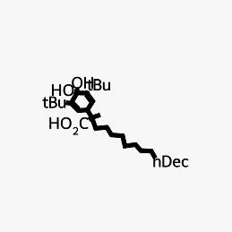 CCCCCCCCCCCCCCCCCCC(C)(C(=O)O)C1C=C(C(C)(C)C)C(O)(O)C(C(C)(C)C)=C1